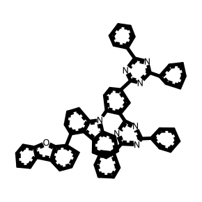 c1ccc(-c2nc(-c3ccccc3)nc(-c3ccc(-n4c5ccccc5c5c(-c6cccc7c6oc6ccccc67)cccc54)c(-c4nc(-c5ccccc5)nc(-c5ccccc5)n4)c3)n2)cc1